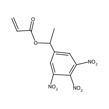 C=CC(=O)OC(C)c1cc([N+](=O)[O-])c([N+](=O)[O-])c([N+](=O)[O-])c1